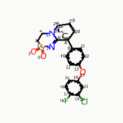 O=S1(=O)CCN2C(=N1)C1(c3ccc(Oc4ccc(F)c(Cl)c4)cc3)CCC2CC1